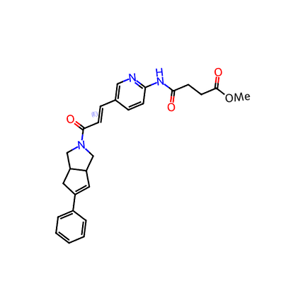 COC(=O)CCC(=O)Nc1ccc(/C=C/C(=O)N2CC3C=C(c4ccccc4)CC3C2)cn1